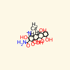 CN(C)[C@@H]1C(O)=C(C(N)=O)C(=O)[C@@]2(O)C(O)=C3C(=O)c4c(O)cccc4[C@@](C)(O)[C@H]3C[C@@H]12.[CaH2]